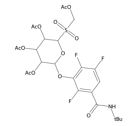 CC(=O)OCS(=O)(=O)C1OC(Oc2c(F)c(F)cc(C(=O)NC(C)(C)C)c2F)C(OC(C)=O)C(OC(C)=O)C1OC(C)=O